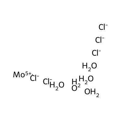 O.O.O.O.O.[Cl-].[Cl-].[Cl-].[Cl-].[Cl-].[Mo+5]